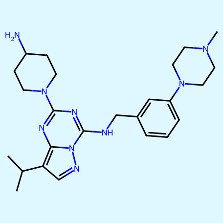 CC(C)c1cnn2c(NCc3cccc(N4CCN(C)CC4)c3)nc(N3CCC(N)CC3)nc12